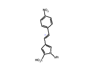 CCCn1cc(/C=C/c2ccc([N+](=O)[O-])cc2)cc1C(=O)O